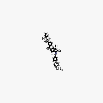 CN1CCN(c2ccc(N/C=C3/C(=O)Nc4cc(C(=O)c5cccc(NC(=O)Nc6ccsc6)c5)ccc43)cc2)CC1